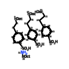 CCCCCCCCCCCCc1ccc(S(=O)(=O)O)cc1.CCCCCCCCCCCCc1ccc(S(=O)(=O)O)cc1.CCCCCCCCCCCCc1ccc(S(=O)(=O)O)cc1.CCCCCCCCN